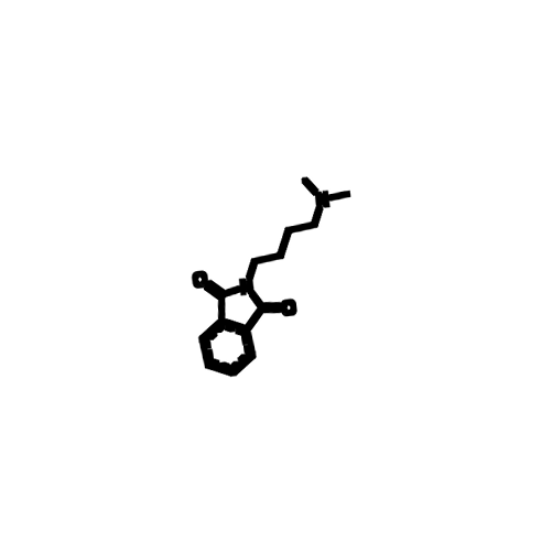 CN(C)CCCCN1C(=O)c2ccccc2C1=O